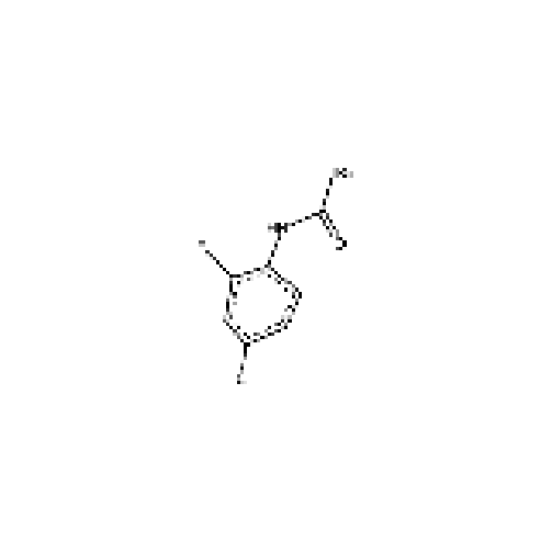 CC(C)(C)C(=O)Nc1ccc(Cl)cc1F